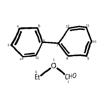 CCOC=O.c1ccc(-c2ccccc2)cc1